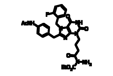 CCOC(=O)N(N)C(=O)CCCn1c(=O)[nH]c(=O)c2c1nc(Cc1ccc(NC(C)=O)cc1)n2Cc1ccccc1F